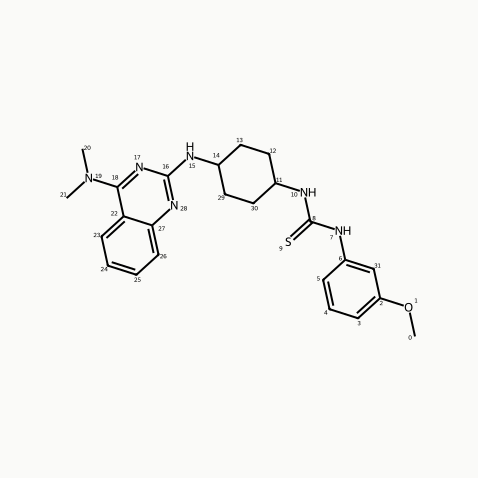 COc1cccc(NC(=S)NC2CCC(Nc3nc(N(C)C)c4ccccc4n3)CC2)c1